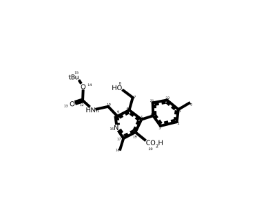 Cc1ccc(-c2c(CO)c(CNC(=O)OC(C)(C)C)nc(C)c2C(=O)O)cc1